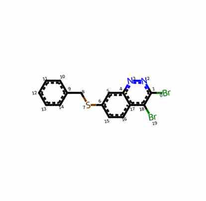 Brc1nnc2cc(SCc3ccccc3)ccc2c1Br